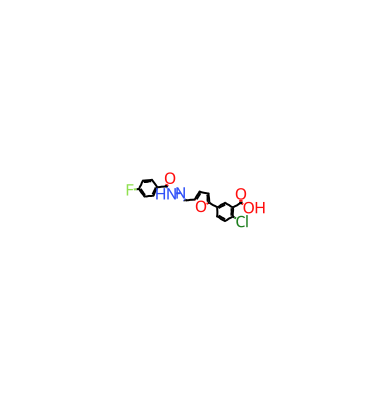 O=C(N/N=C/c1ccc(-c2ccc(Cl)c(C(=O)O)c2)o1)c1ccc(F)cc1